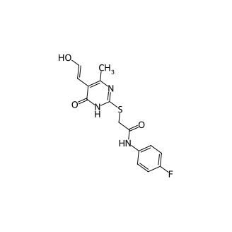 Cc1nc(SCC(=O)Nc2ccc(F)cc2)[nH]c(=O)c1C=CO